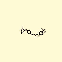 CC1CN/C(=N/c2ccc(CCNc3nc4ccc(S(C)(=O)=O)cc4s3)cc2)S1